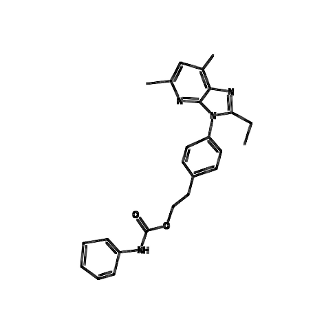 CCc1nc2c(C)cc(C)nc2n1-c1ccc(CCOC(=O)Nc2ccccc2)cc1